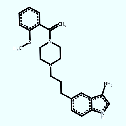 C=C(c1ccccc1SC)N1CCN(CCCc2ccc3[nH]cc(N)c3c2)CC1